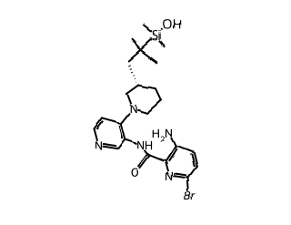 CC(C)(C[C@@H]1CCCN(c2ccncc2NC(=O)c2nc(Br)ccc2N)C1)[Si](C)(C)O